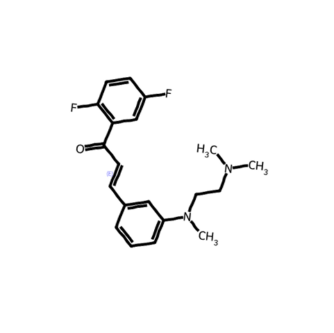 CN(C)CCN(C)c1cccc(/C=C/C(=O)c2cc(F)ccc2F)c1